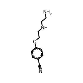 N#Cc1ccc(OCCNCCN)cc1